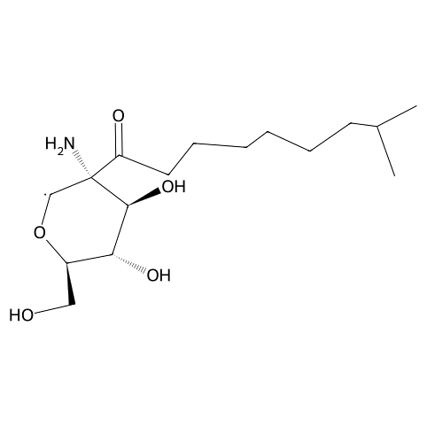 CC(C)CCCCCCC(=O)[C@]1(N)[CH]O[C@H](CO)[C@@H](O)[C@@H]1O